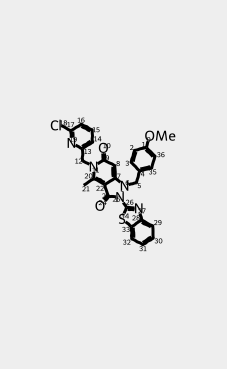 COc1ccc(Cn2c3cc(=O)n(Cc4cccc(Cl)n4)c(C)c3c(=O)n2-c2nc3ccccc3s2)cc1